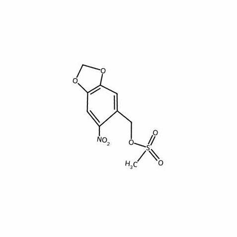 CS(=O)(=O)OCc1cc2c(cc1[N+](=O)[O-])OCO2